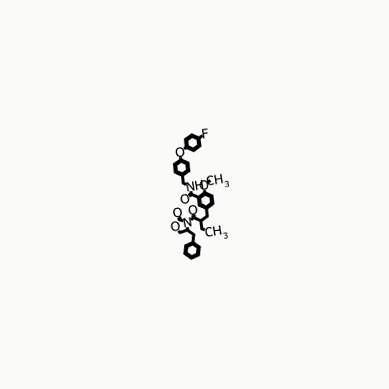 CCC(Cc1ccc(OC)c(C(=O)NCc2ccc(Oc3ccc(F)cc3)cc2)c1)C(=O)N1C(=O)OCC1Cc1ccccc1